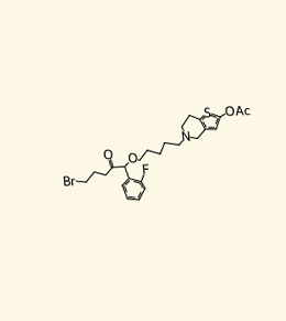 CC(=O)Oc1cc2c(s1)CCN(CCCCCOC(C(=O)CCCBr)c1ccccc1F)C2